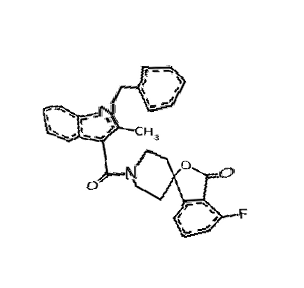 Cc1c(C(=O)N2CCC3(CC2)OC(=O)c2c(F)cccc23)c2ccccc2n1Cc1ccccc1